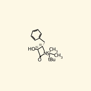 CC(C)(C)[Si](C)(C)N1C(=O)[C@@H](O)[C@@H]1Cc1ccccc1